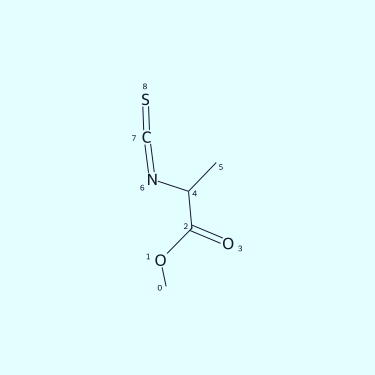 COC(=O)C(C)N=C=S